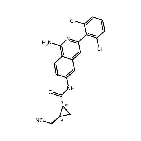 N#CC[C@@H]1C[C@H]1C(=O)Nc1cc2cc(-c3c(Cl)cccc3Cl)nc(N)c2cn1